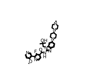 COc1ccncc1-c1nccc(C(=O)Nc2nc3ccc(N4CCC(N5CCN(C)CC5)CC4)cc3n2CC(C)(C)O)c1F